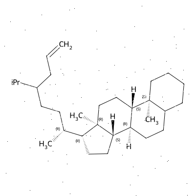 C=CCC(CC[C@@H](C)[C@H]1CC[C@H]2[C@@H]3CCC4CCCC[C@]4(C)[C@H]3CC[C@]12C)C(C)C